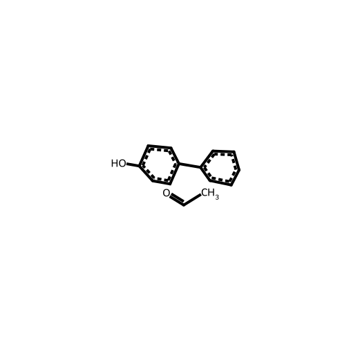 CC=O.Oc1ccc(-c2ccccc2)cc1